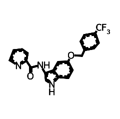 O=C(Nc1c[nH]c2ccc(OCc3ccc(C(F)(F)F)cc3)cc12)c1ccccn1